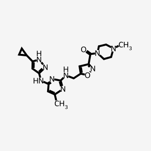 Cc1cc(Nc2cc(C3CC3)[nH]n2)nc(NCc2cc(C(=O)N3CCN(C)CC3)no2)n1